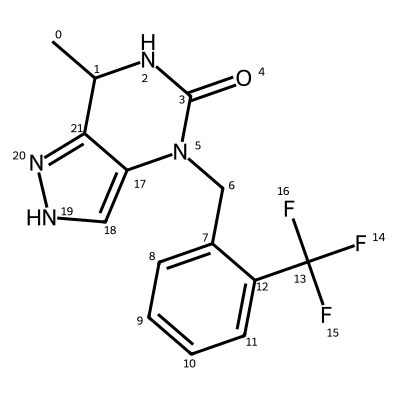 CC1NC(=O)N(Cc2ccccc2C(F)(F)F)c2c[nH]nc21